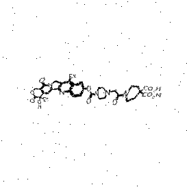 CCc1c2c(nc3ccc(OC(=O)N4CCN(CC(=O)N5CCC(C(=O)O)(C(=O)O)CC5)CC4)cc13)-c1cc3c(c(=O)n1C2)COC(=O)[C@]3(O)CC